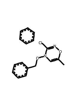 CC1=CN(OCc2ccccc2)C(Cl)=NO1.c1ccccc1